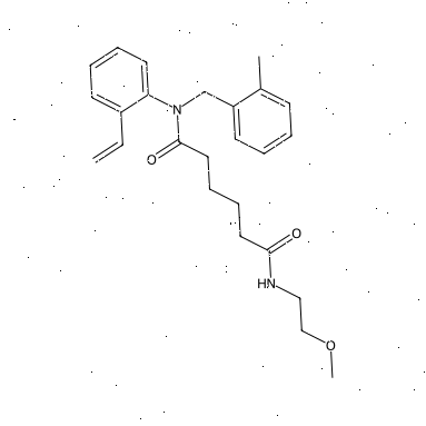 C=Cc1ccccc1N(Cc1ccccc1C)C(=O)CCCCC(=O)NCCOC